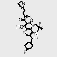 O=C(NCCn1cccn1)c1c(O)c2ncc(Cc3ccc(F)cc3)c3c2n(c1=O)CC(F)(F)CN3